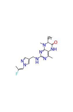 C/C(F)=C\n1cc(CNc2nc(C)c3c(n2)N(C)C(C(C)C)C(=O)N3)cn1